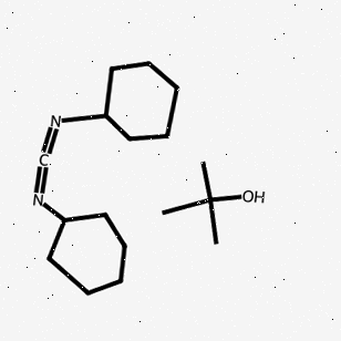 C(=NC1CCCCC1)=NC1CCCCC1.CC(C)(C)O